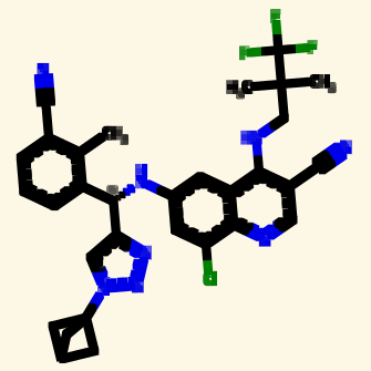 Cc1c(C#N)cccc1[C@H](Nc1cc(Cl)c2ncc(C#N)c(NCC(C)(C)C(F)(F)F)c2c1)c1cn(C23CC(C2)C3)nn1